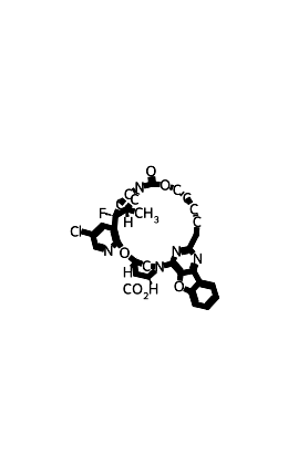 C[C@H]1CN2CC[C@]1(F)c1cc(Cl)cnc1O[C@H]1C[C@@H](C(=O)O)N(C1)c1nc(nc3c1oc1ccccc13)CCCCCOC2=O